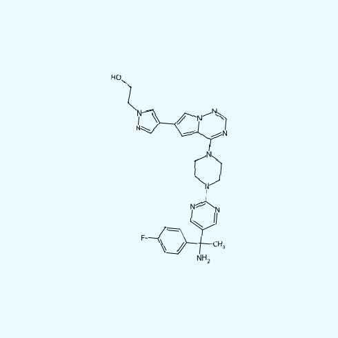 CC(N)(c1ccc(F)cc1)c1cnc(N2CCN(c3ncnn4cc(-c5cnn(CCO)c5)cc34)CC2)nc1